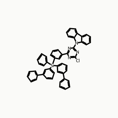 Clc1nc(-c2cccc([Si](c3ccccc3)(c3cccc(-c4ccccc4)c3)c3cccc(-c4ccccc4)c3)c2)nc(-n2c3ccccc3c3ccccc32)n1